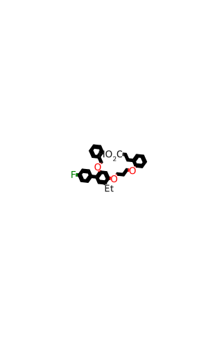 CCc1cc(-c2ccc(F)cc2)c(OCc2ccccc2)cc1OCCCOc1ccccc1CCC(=O)O